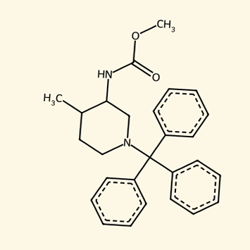 COC(=O)NC1CN(C(c2ccccc2)(c2ccccc2)c2ccccc2)CCC1C